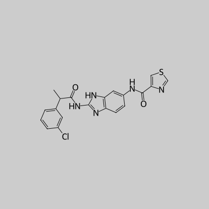 CC(C(=O)Nc1nc2ccc(NC(=O)c3cscn3)cc2[nH]1)c1cccc(Cl)c1